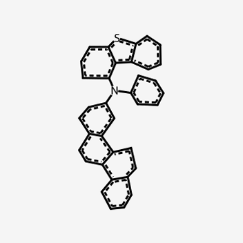 c1ccc(N(c2ccc3ccc4c5ccccc5ccc4c3c2)c2cccc3sc4ccccc4c23)cc1